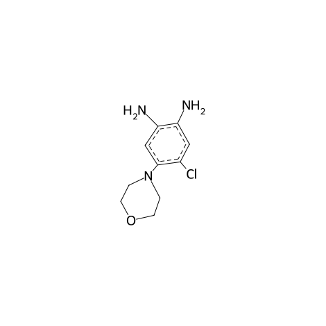 Nc1cc(Cl)c(N2CCOCC2)cc1N